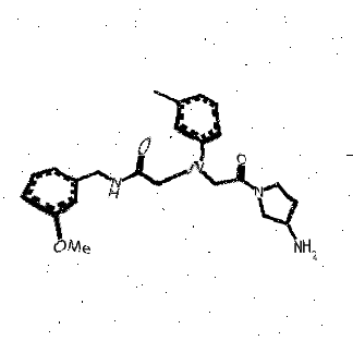 COc1cccc(CNC(=O)CN(CC(=O)N2CCC(N)C2)c2cccc(C)c2)c1